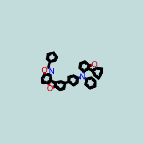 c1ccc(-c2nc3c(ccc4oc5ccc(-c6ccc(N(c7ccccc7)c7cccc8oc9ccccc9c78)cc6)cc5c43)o2)cc1